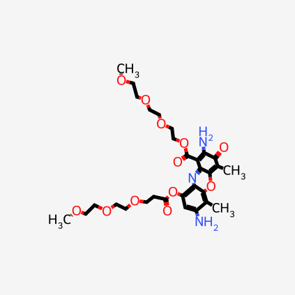 COCCOCCOCCOC(=O)c1c2nc3c(OC(=O)CCOCCOCCOC)cc(N)c(C)c3oc-2c(C)c(=O)c1N